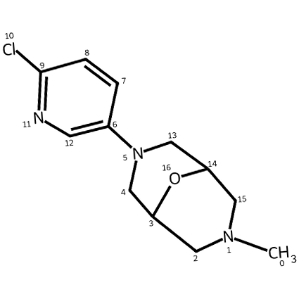 CN1CC2CN(c3ccc(Cl)nc3)CC(C1)O2